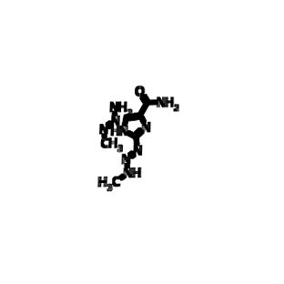 CN=NN.CNN=Nc1nc(C(N)=O)c[nH]1